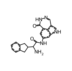 NC(C(=O)Nc1cc2c3c(c[nH]c3c1)C=NNC2=O)C1Cc2ccccc2C1